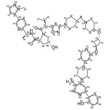 CC(C)[C@H](C(=O)N1C[C@H](O)C[C@H]1C(=O)N[C@@H](C)c1ccc(-c2ccnn2C)cc1)c1cc(N2CCC(CN3CCC(O[C@H]4C[C@H](Oc5cc(N6CCN(c7cc(-c8ccccc8O)nnc7N)CC6)ccn5)C4)CC3)CC2)no1